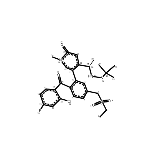 CCS(=O)(=O)Cc1ccc(C(=O)c2ccc(F)cc2Cl)c(-c2cn(C)c(=O)cc2[C@H](C)NSC(C)(C)C)c1